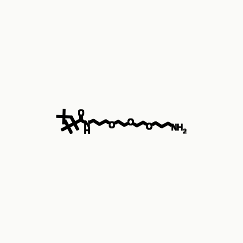 CC(C)(C)CC(C)(C(=O)NCCCOCCOCCOCCCN)C(C)(C)C